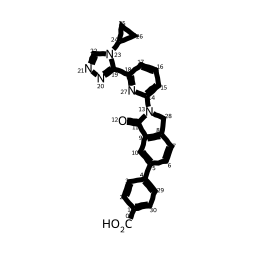 O=C(O)c1ccc(-c2ccc3c(c2)C(=O)N(c2cccc(-c4nncn4C4CC4)n2)C3)cc1